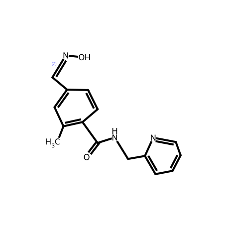 Cc1cc(/C=N\O)ccc1C(=O)NCc1ccccn1